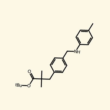 Cc1ccc(NCc2ccc(CC(C)(C)C(=O)OC(C)(C)C)cc2)cc1